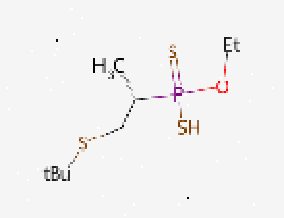 CCOP(=S)(S)[C@@H](C)CSC(C)(C)C